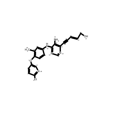 CCc1ccc(Oc2ccc(Nc3ncnc(C#CC=CCO)c3N)cc2C)cn1